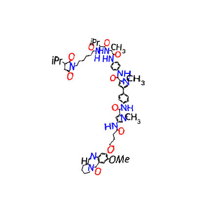 COc1cc2c(cc1OCCCC(=O)Nc1cc(C(=O)Nc3ccc(-c4cc(C(=O)Nc5ccc(NC(=O)[C@H](C)NC(=O)[C@@H](NC(=O)CCCCCN6C(=O)CC(C(C)C)C6=O)C(C)C)cc5)n(C)c4)cc3)n(C)c1)N=C[C@@H]1CCCCN1C2=O